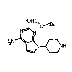 CC(C)(C)OC=O.Nc1ncnc2c1ccn2C1CCNCC1